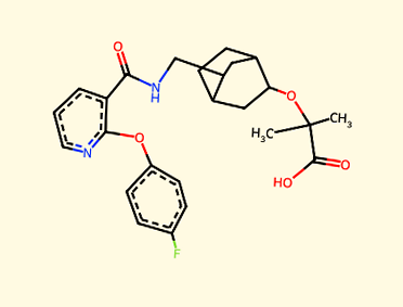 CC(C)(OC1CC2CCC1CC2CNC(=O)c1cccnc1Oc1ccc(F)cc1)C(=O)O